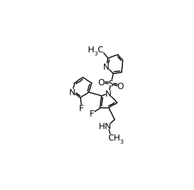 CNCc1cn(S(=O)(=O)c2cccc(C)n2)c(-c2cccnc2F)c1F